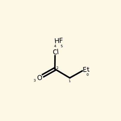 CCCC(=O)Cl.F